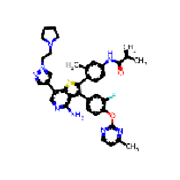 C=C(C)C(=O)Nc1ccc(-c2sc3c(-c4cnn(CCN5CCCC5)c4)cnc(N)c3c2-c2ccc(Oc3nccc(C)n3)c(F)c2)c(C)c1